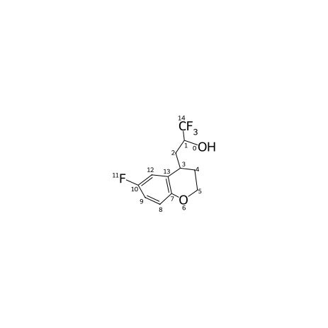 OC(CC1CCOc2ccc(F)cc21)C(F)(F)F